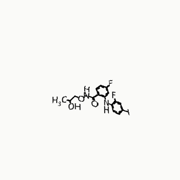 CC(O)CONC(=O)c1ccc(F)cc1Nc1ccc(I)cc1F